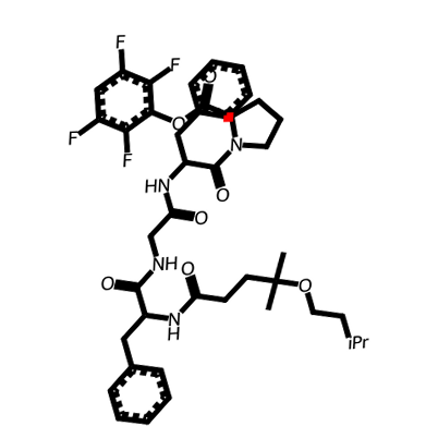 CC(C)CCOC(C)(C)CCC(=O)NC(Cc1ccccc1)C(=O)NCC(=O)NC(Cc1ccccc1)C(=O)N1CCCC1C(=O)Oc1c(F)c(F)cc(F)c1F